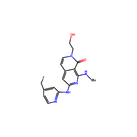 CC(C)(C)Nc1nc(Nc2cc(CF)ccn2)cc2ccn(CCO)c(=O)c12